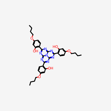 CCCCOc1ccc(C2=NC3=NC(c4ccc(OCCCC)cc4O)=NC4=NC(c5ccc(OCCCC)cc5O)=NC(=N2)N34)c(O)c1